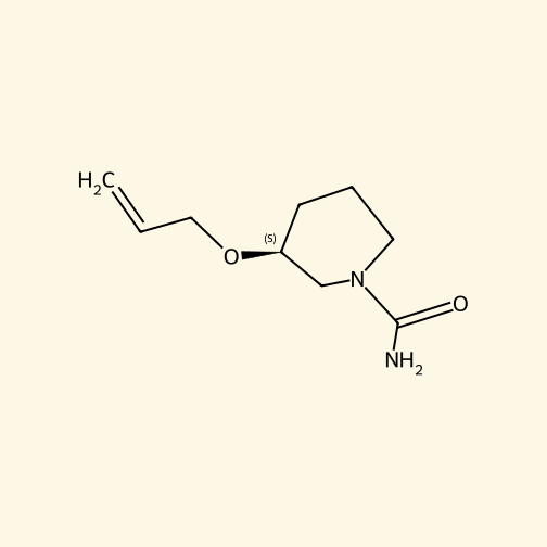 C=CCO[C@H]1CCCN(C(N)=O)C1